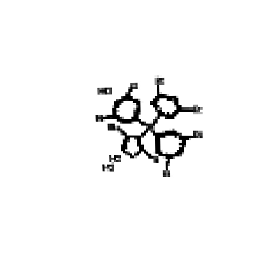 CCc1cc(CC)cc([Si](C2=[C]([Ti])CC=C2C(C)C)(c2cc(CC)cc(CC)c2)c2cc(CC)cc(CC)c2)c1.Cl.Cl.Cl